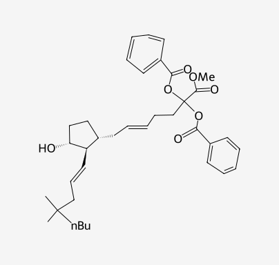 CCCCC(C)(C)CC=C[C@@H]1[C@@H](CC=CCCC(OC(=O)c2ccccc2)(OC(=O)c2ccccc2)C(=O)OC)CC[C@H]1O